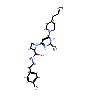 N#CCCC1CCN(c2cc(N3CCC3C(=O)NCCc3ccc(C#N)cc3)nc(C(F)(F)F)n2)CC1